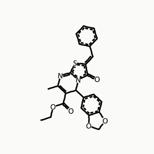 CCOC(=O)C1=C(C)N=c2sc(=Cc3ccccc3)c(=O)n2C1c1ccc2c(c1)OCO2